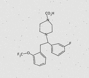 O=C(O)N1CCN(C(Cc2ccccc2OC(F)(F)F)c2cccc(F)c2)CC1